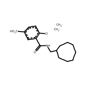 O=C(O)c1ccc(Cl)c(C(=O)NC[C]2CCCCCCC2)c1.[CH2].[CH2]